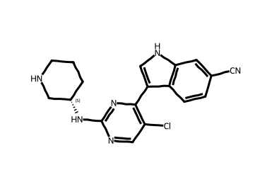 N#Cc1ccc2c(-c3nc(N[C@H]4CCCNC4)ncc3Cl)c[nH]c2c1